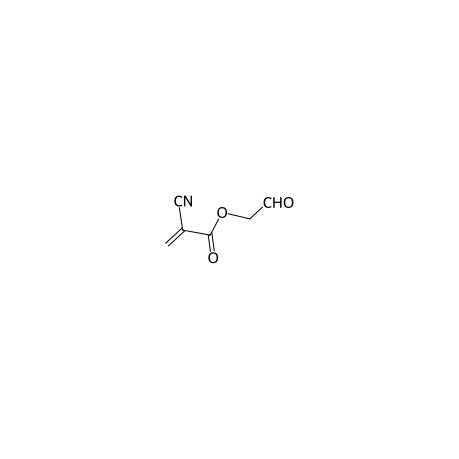 C=C(C#N)C(=O)OCC=O